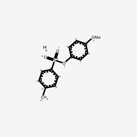 COc1ccc(OS(=O)(=O)c2ccc(C)cc2)cc1.I